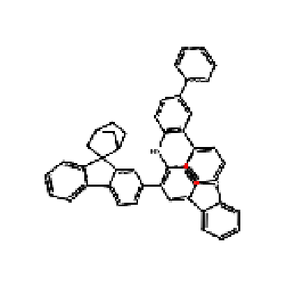 c1ccc(-c2ccc(Nc3cc4oc5ccccc5c4cc3-c3ccc4c(c3)C3(CC5CCC3C5)c3ccccc3-4)c(-c3ccccc3)c2)cc1